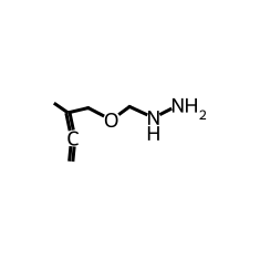 C=C=C(C)COCNN